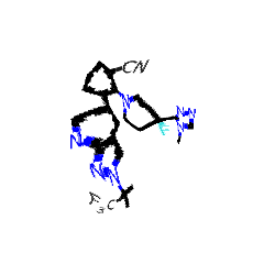 Cn1cnnc1C1(F)CCN(c2c(C#N)cccc2-c2cnc3nn(C(C)(C)C(F)(F)F)cc3c2)CC1